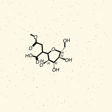 COC(=O)CC(C(=O)O)C1O[C@H](CO)[C@@H](O)[C@H](O)[C@H]1O